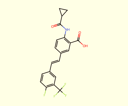 O=C(O)c1cc(C=Cc2ccc(F)c(C(F)(F)F)c2)ccc1NC(=O)C1CC1